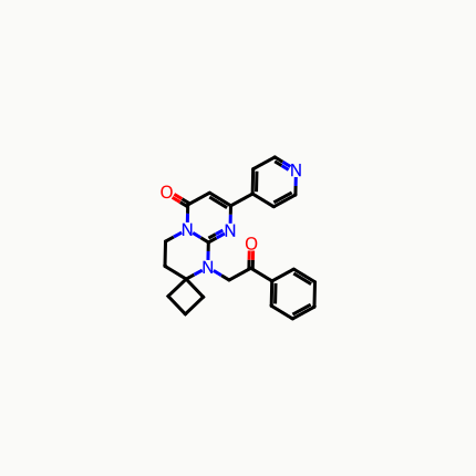 O=C(CN1c2nc(-c3ccncc3)cc(=O)n2CCC12CCC2)c1ccccc1